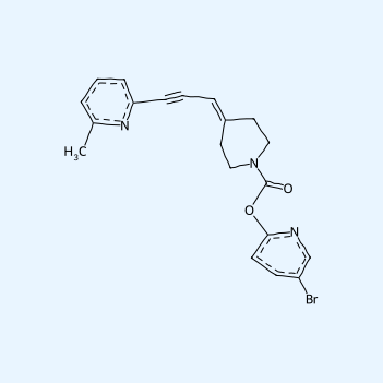 Cc1cccc(C#CC=C2CCN(C(=O)Oc3ccc(Br)cn3)CC2)n1